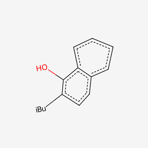 CCC(C)c1ccc2ccccc2c1O